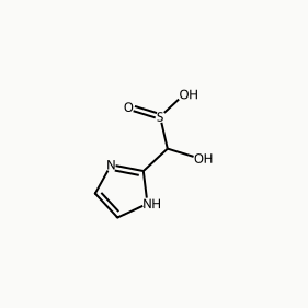 O=S(O)C(O)c1ncc[nH]1